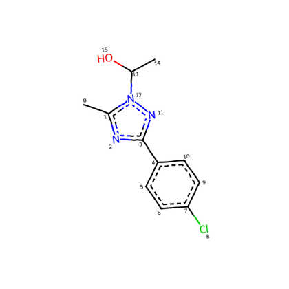 Cc1nc(-c2ccc(Cl)cc2)nn1C(C)O